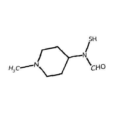 CN1CCC(N(S)C=O)CC1